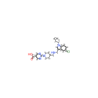 CCCn1cc(CNCC2CCN(c3ncc(C(=O)O)cn3)CC2)c2cc(Cl)ccc21